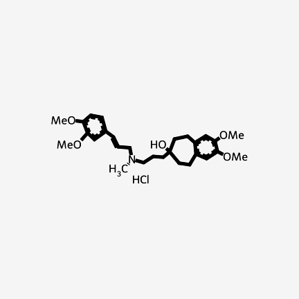 COc1ccc(C=CCN(C)CCCC2(O)CCc3cc(OC)c(OC)cc3CC2)cc1OC.Cl